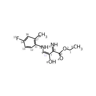 CCOC(=O)C(=N)/C(O)=C\Nc1ccc(F)cc1C